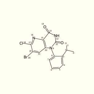 CC(C)c1ccccc1-n1c(=O)[nH]c(=O)c2nc(Cl)c(Br)cc21